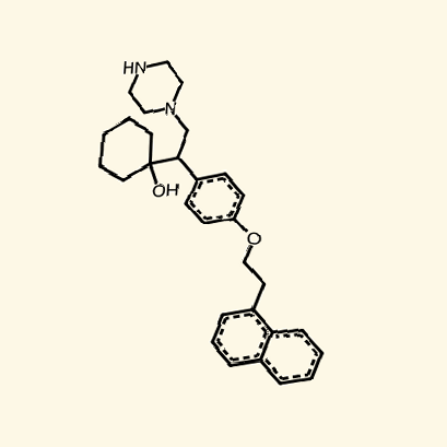 OC1(C(CN2CCNCC2)c2ccc(OCCc3cccc4ccccc34)cc2)CCCCC1